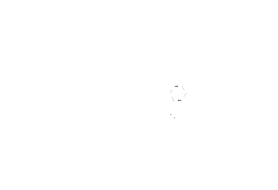 CCCCCCCCCCCCCc1ccccc1C[N+](C)(C)C.[Cl-]